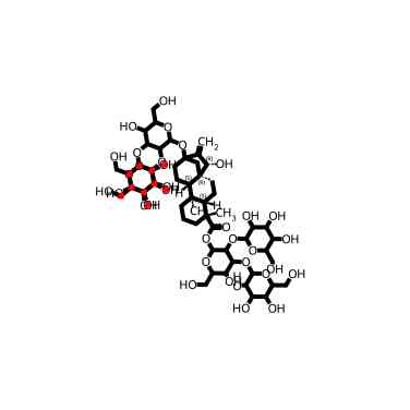 C=C1[C@H](O)[C@@]23CC[C@H]4[C@@](C)(CCC[C@@]4(C)C(=O)OC4OC(CO)C(O)C(OC5OC(CO)C(O)C(O)C5O)C4OC4OC(CO)C(O)C(O)C4O)[C@@H]2CCC1(OC1OC(CO)C(O)C(OC2OC(CO)C(O)C(O)C2O)C1OC1OC(CO)C(O)C(O)C1O)C3